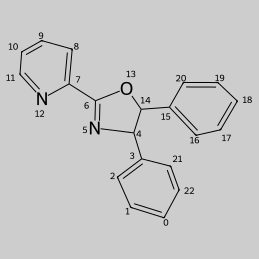 c1ccc(C2N=C(c3ccccn3)OC2c2ccccc2)cc1